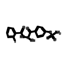 CC(C)(C)N(NC(=O)c1ccccc1I)C(=O)c1ccc(OS(N)(=O)=O)cc1